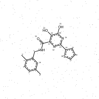 Cc1ccc(C)c(CNC(=O)c2nc(-c3cccs3)nc(O)c2O)c1